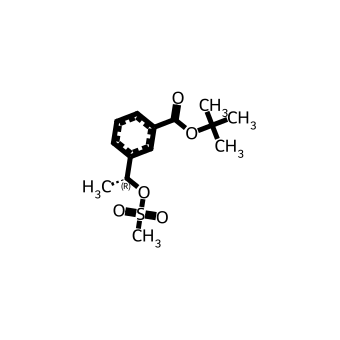 C[C@@H](OS(C)(=O)=O)c1cccc(C(=O)OC(C)(C)C)c1